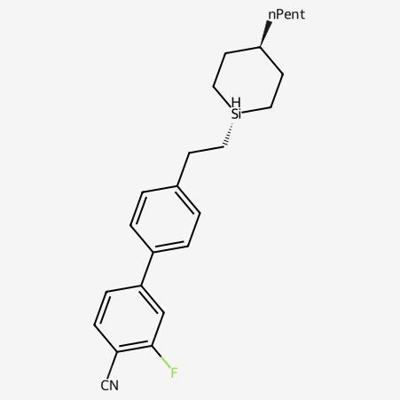 CCCCC[C@H]1CC[Si@H](CCc2ccc(-c3ccc(C#N)c(F)c3)cc2)CC1